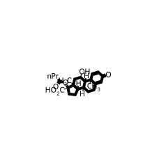 CCCC(=O)O[C@]1(C(=O)O)CC[C@H]2[C@@H]3CCC4=CC(=O)C=C[C@]4(C)[C@H]3[C@@H](O)C[C@@]21C